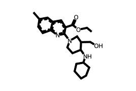 CCOC(=O)c1cc2cc(C)ccc2nc1N1CCC(NC2CCCCC2)C(CO)C1